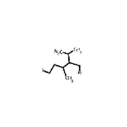 CC(C)C(CBr)C(C)CCI